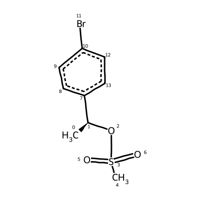 C[C@H](OS(C)(=O)=O)c1ccc(Br)cc1